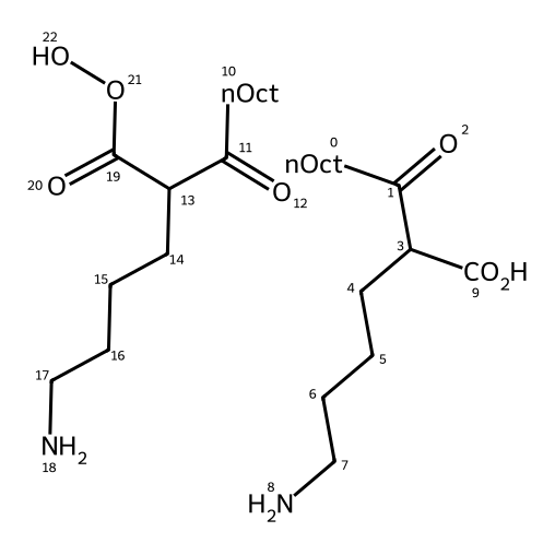 CCCCCCCCC(=O)C(CCCCN)C(=O)O.CCCCCCCCC(=O)C(CCCCN)C(=O)OO